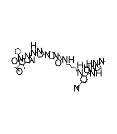 CC(=O)c1c(C)c2cnc(Nc3ccc(N4CCN(CC(=O)NCCCCCNc5cc(C#N)ccc5C(=O)NC(=N)/C=C\C(=N)N(C)C)CC4)cn3)nc2n(C2CCCC2)c1=O